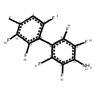 Cc1cc(F)c(-c2c(F)c(F)c(N)c(F)c2F)c(F)c1F